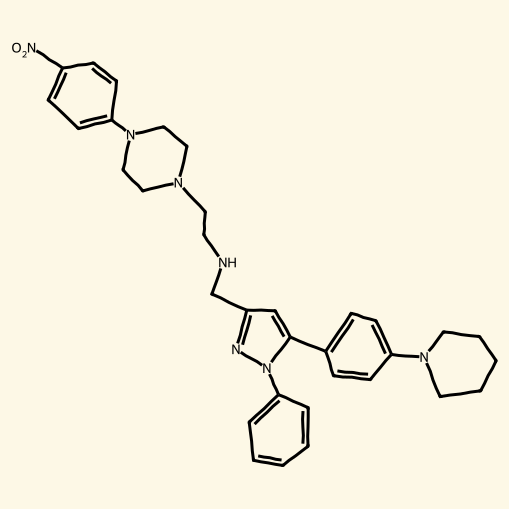 O=[N+]([O-])c1ccc(N2CCN(CCNCc3cc(-c4ccc(N5CCCCC5)cc4)n(-c4ccccc4)n3)CC2)cc1